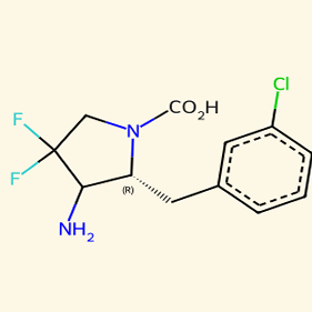 NC1[C@@H](Cc2cccc(Cl)c2)N(C(=O)O)CC1(F)F